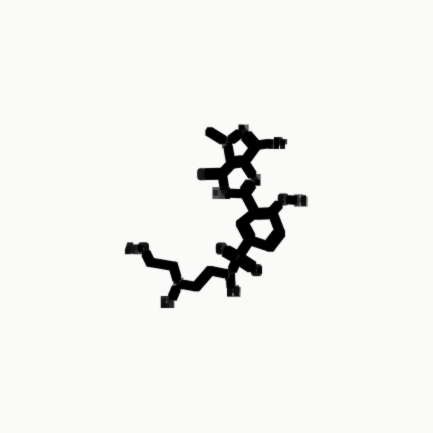 CCCc1nn(C)c2c(=O)[nH]c(-c3cc(S(=O)(=O)N(CC)CCN(CC)CCOC(C)=O)ccc3OCC)nc12